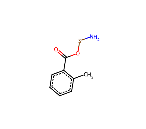 Cc1ccccc1C(=O)OSN